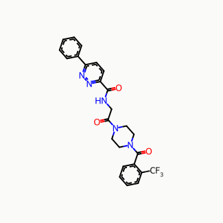 O=C(NCC(=O)N1CCN(C(=O)c2ccccc2C(F)(F)F)CC1)c1ccc(-c2ccccc2)nn1